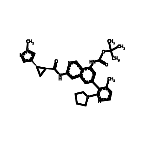 Cc1ccnc(N2CCCC2)c1-c1cc(NC(=O)OC(C)(C)C)c2cnc(NC(=O)[C@H]3C[C@@H]3c3cnn(C)c3)cc2c1